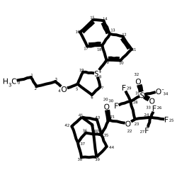 CCCCOC1CC[S+](c2cccc3ccccc23)C1.O=C(OC(C(F)(F)F)C(F)(F)S(=O)(=O)[O-])C12CC3CC(CC(C3)C1)C2